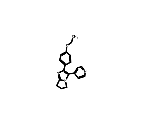 CCSc1ccc(-c2nc3n(c2-c2ccncc2)CCC3)cc1